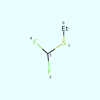 C[CH]SC(F)F